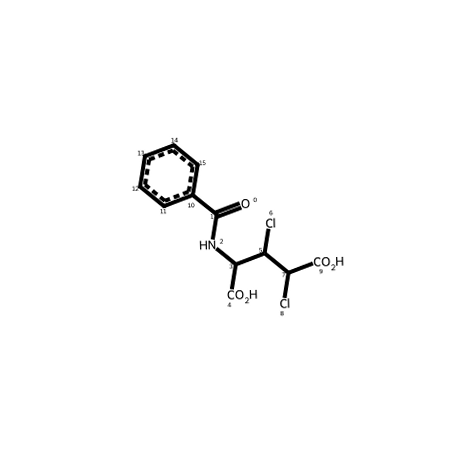 O=C(NC(C(=O)O)C(Cl)C(Cl)C(=O)O)c1ccccc1